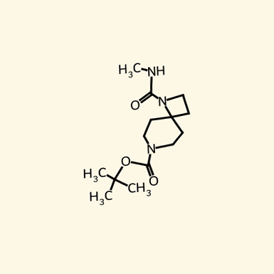 CNC(=O)N1CCC12CCN(C(=O)OC(C)(C)C)CC2